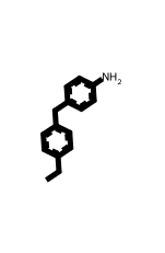 CCc1ccc(Cc2ccc(N)cc2)cc1